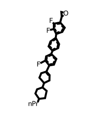 CCCC1CCC(C2CC=C(c3ccc(-c4ccc(-c5ccc(C6CO6)c(F)c5F)cc4)cc3F)CC2)CC1